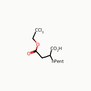 CCCCCC(CC(=O)OCC(Cl)(Cl)Cl)C(=O)O